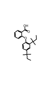 CCC(C)(C)c1ccc(Oc2ccccc2C(=O)O)c(C(C)(C)CC)c1